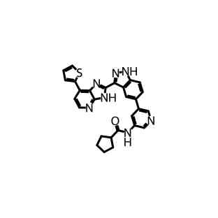 O=C(Nc1cncc(-c2ccc3[nH]nc(-c4nc5c(-c6cccs6)ccnc5[nH]4)c3c2)c1)C1CCCC1